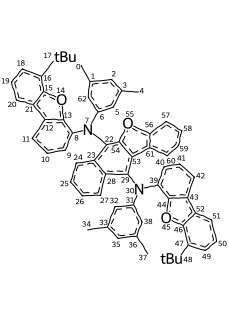 Cc1cc(C)cc(N(c2cccc3c2oc2c(C(C)(C)C)cccc23)c2c3ccccc3c(N(c3cc(C)cc(C)c3)c3cccc4c3oc3c(C(C)(C)C)cccc34)c3c2oc2ccccc23)c1